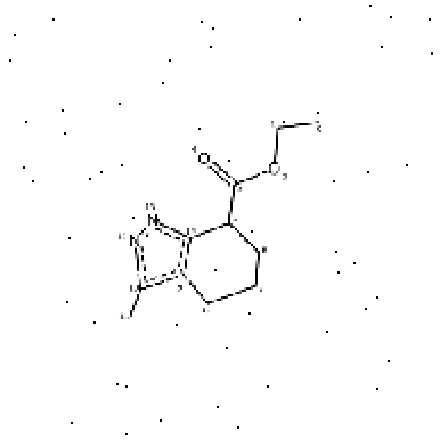 CCOC(=O)C1CCCn2c(C)nnc21